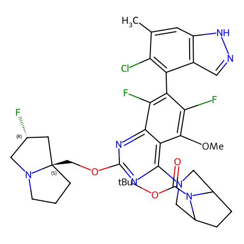 COc1c(F)c(-c2c(Cl)c(C)cc3[nH]ncc23)c(F)c2nc(OC[C@@]34CCCN3C[C@H](F)C4)nc(N3CC4CCC(C3)N4C(=O)OC(C)(C)C)c12